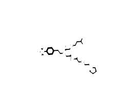 CC(C)CCNCC(=O)N(CCc1ccc(S(N)(=O)=O)cc1)CC(=O)NC(=O)CNCCN1CCCC1